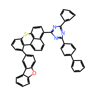 c1ccc(-c2ccc(-c3nc(-c4ccccc4)nc(-c4ccc5c6c(cccc46)-c4c(cccc4-c4ccc6oc7ccccc7c6c4)S5)n3)cc2)cc1